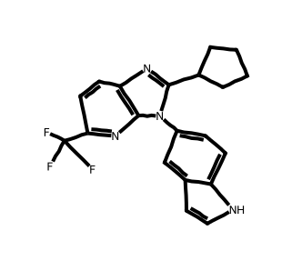 FC(F)(F)c1ccc2nc(C3CCCC3)n(-c3ccc4[nH]ccc4c3)c2n1